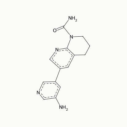 NC(=O)N1CCCc2cc(-c3cncc(N)c3)cnc21